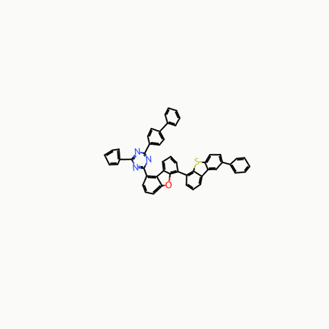 c1ccc(-c2ccc(-c3nc(-c4ccccc4)nc(-c4cccc5oc6c(-c7cccc8c7sc7ccc(-c9ccccc9)cc78)cccc6c45)n3)cc2)cc1